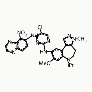 COc1cc2c(cc1Nc1ncc(Cl)c(Nc3ccc4nccnc4c3[N+](=O)[O-])n1)-c1cnn(C)c1CCN2C(C)C